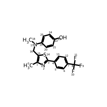 Cc1nc(-c2ccc(C(F)(F)F)cc2)sc1CN(C)c1ccc(O)cc1